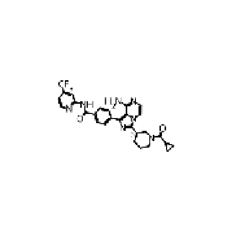 Nc1nccn2c([C@@H]3CCCN(C(=O)C4CC4)C3)nc(-c3ccc(C(=O)Nc4cc(C(F)(F)F)ccn4)cc3)c12